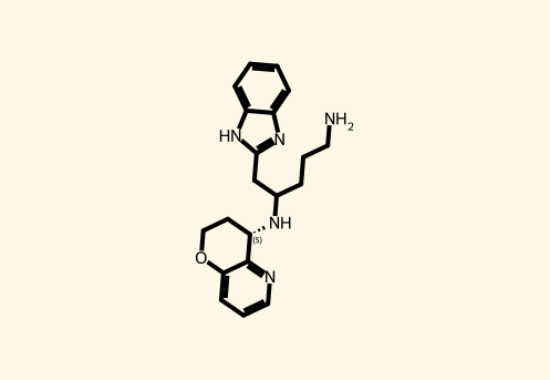 NCCCC(Cc1nc2ccccc2[nH]1)N[C@H]1CCOc2cccnc21